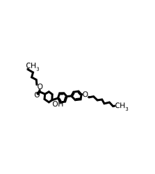 CCCCCCCCOc1ccc(-c2ccc(C3(O)CCC(C(=O)OCCCCCC)CC3)cc2)cc1